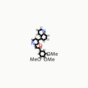 COc1cc(-c2cc3nccc(-c4cccc5ncccc45)c3o2)cc(OC)c1OC